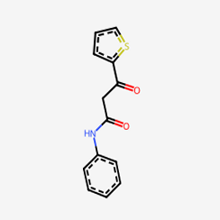 O=C(CC(=O)c1cccs1)Nc1ccccc1